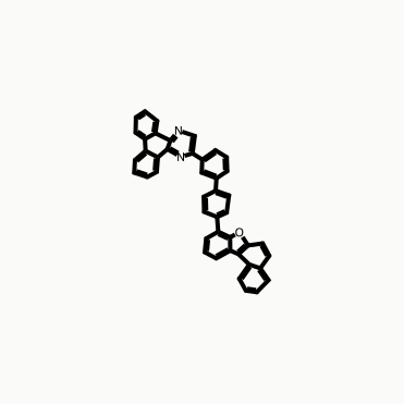 c1cc(-c2ccc(-c3cccc4c3oc3ccc5ccccc5c34)cc2)cc(-c2cnc3c4ccccc4c4ccccc4c3n2)c1